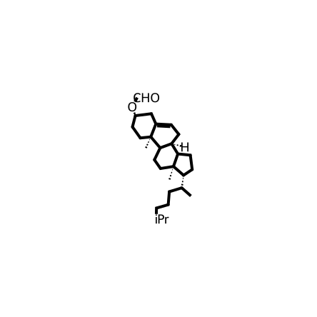 CC(C)CCCC(C)[C@H]1CCC2[C@@H]3CC=C4C[C@@H](OC=O)CC[C@]4(C)C3CC[C@@]21C